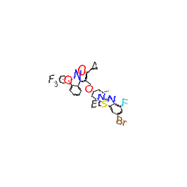 CC[C@H]1C[C@@H](OCc2c(-c3ccccc3OC(F)(F)F)noc2C2CC2)C[C@@H](C)N1c1nc2c(F)cc(Br)cc2s1